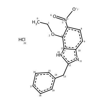 CCOc1c([N+](=O)[O-])ccc2nc(Cc3ccccc3)[nH]c12.Cl